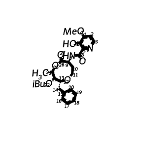 COc1ccnc(C(=O)N[C@H]2CCO[C@H](Cc3ccccc3)[C@@H](OCC(C)C)[C@H](C)OC2=O)c1O